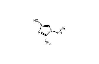 CC(C)Nn1cc(O)nc1N